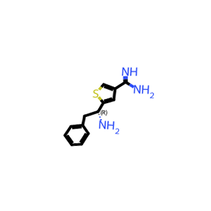 N=C(N)c1csc([C@H](N)Cc2ccccc2)c1